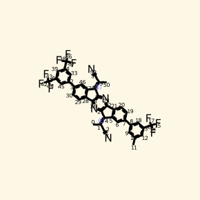 C/C(C#N)=C1/c2cc(-c3cc(C)cc(C(F)(F)F)c3)ccc2-c2nc3c(nc21)-c1ccc(-c2cc(C(F)(F)F)cc(C(F)(F)F)c2)cc1/C3=C(/C)C#N